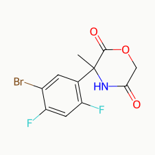 CC1(c2cc(Br)c(F)cc2F)NC(=O)COC1=O